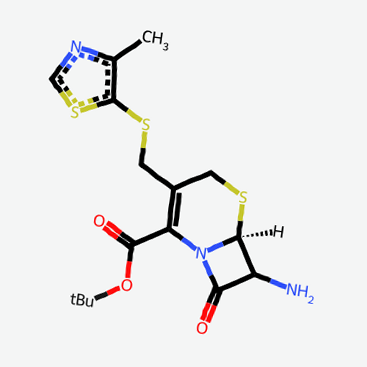 Cc1ncsc1SCC1=C(C(=O)OC(C)(C)C)N2C(=O)C(N)[C@@H]2SC1